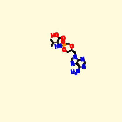 CC(C)C(NP1(=O)CO[C@@H](Cn2cnc3c(N)ncnc32)CO1)C(=O)O